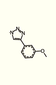 COc1cccc(C2=C[N]N=N2)c1